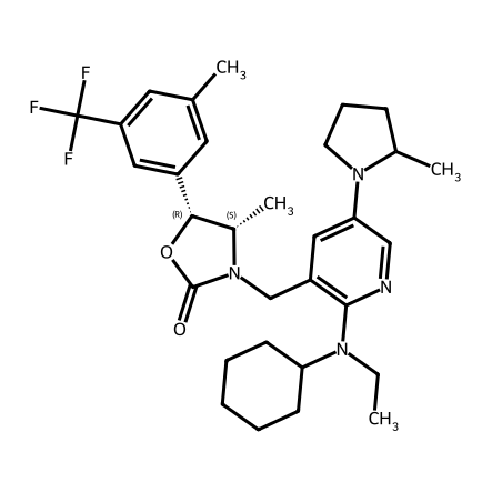 CCN(c1ncc(N2CCCC2C)cc1CN1C(=O)O[C@H](c2cc(C)cc(C(F)(F)F)c2)[C@@H]1C)C1CCCCC1